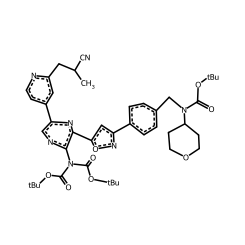 CC(C#N)Cc1cc(-c2cnc(N(C(=O)OC(C)(C)C)C(=O)OC(C)(C)C)c(-c3cc(-c4ccc(CN(C(=O)OC(C)(C)C)C5CCOCC5)cc4)no3)n2)ccn1